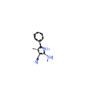 CNc1[nH]c(-c2ccccc2)c(C)c1C#N